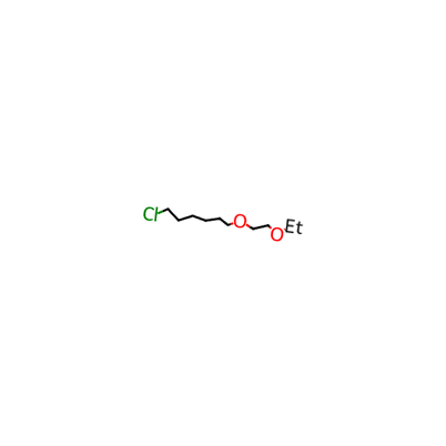 CCOCCOCCCCCCCl